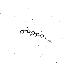 CCCCCC1CCC(c2ccc(-c3ccc(C4CCC(C(F)(F)Oc5ccc(F)cc5)CC4)c(F)c3)c(F)c2)CC1